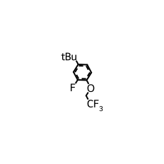 CC(C)(C)c1ccc(OCC(F)(F)F)c(F)c1